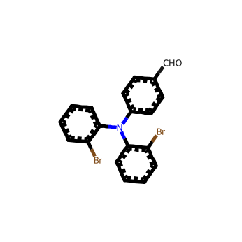 O=Cc1ccc(N(c2ccccc2Br)c2ccccc2Br)cc1